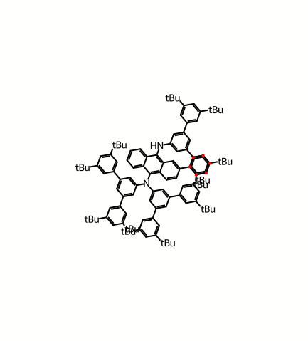 CC(C)(C)c1cc(-c2cc(Nc3c4ccccc4c(N(c4cc(-c5cc(C(C)(C)C)cc(C(C)(C)C)c5)cc(-c5cc(C(C)(C)C)cc(C(C)(C)C)c5)c4)c4cc(-c5cc(C(C)(C)C)cc(C(C)(C)C)c5)cc(-c5cc(C(C)(C)C)cc(C(C)(C)C)c5)c4)c4ccc(-c5ccccc5)cc34)cc(-c3cc(C(C)(C)C)cc(C(C)(C)C)c3)c2)cc(C(C)(C)C)c1